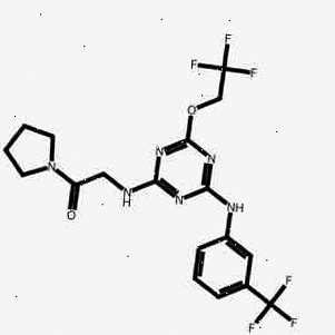 O=C(CNc1nc(Nc2cccc(C(F)(F)F)c2)nc(OCC(F)(F)F)n1)N1CCCC1